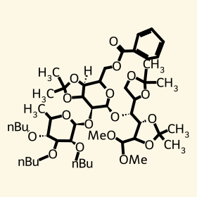 CCCCOC1[C@H](OCCCC)C(C)O[C@@H](O[C@H]2C3OC(C)(C)O[C@H]3C(COC(=O)c3ccccc3)O[C@H]2O[C@H](C2COC(C)(C)O2)[C@@H]2OC(C)(C)OC2C(OC)OC)[C@H]1OCCCC